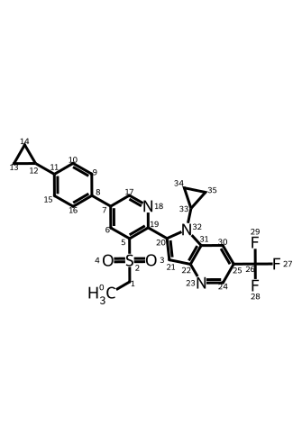 CCS(=O)(=O)c1cc(-c2ccc(C3CC3)cc2)cnc1-c1cc2ncc(C(F)(F)F)cc2n1C1CC1